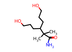 CC(C)(C(N)=O)C(CCCO)CCCO